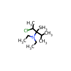 CCN(CC)C([SiH3])(C(C)C)C(C)Cl